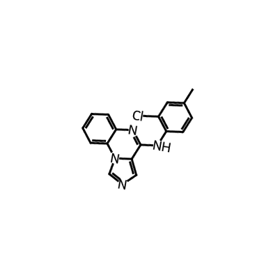 Cc1ccc(Nc2nc3ccccc3n3cncc23)c(Cl)c1